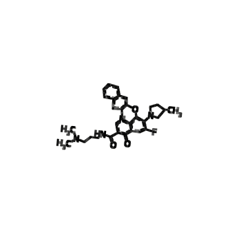 CC1CCN(c2c(F)cc3c(=O)c(C(=O)NCCCN(C)C)cn4c3c2Oc2cc3ccccc3cc2-4)C1